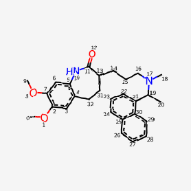 COc1cc2c(cc1OC)NC(=O)C(CCCN(C)C(C)c1cccc3ccccc13)CC2